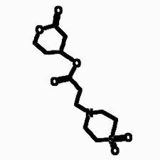 O=C1CC(OC(=O)CCN2CCS(=O)(=O)CC2)CCO1